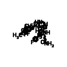 CCOP(=O)(OCC)C(F)(F)c1ccc2sc(C(=O)N[C@H]3CNCC[C@H]4CC[C@@H](C(=O)N[C@@H](CCCC(N)=O)c5ncc(-c6ccc(F)cc6)s5)N4C3=O)cc2c1